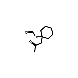 CC(=O)CC1(OC=O)CCCCC1